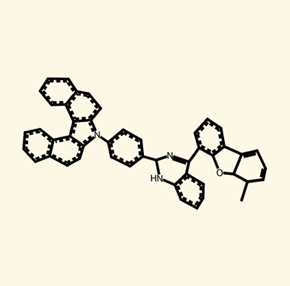 CC1C=CC=C2c3cccc(C4=NC(c5ccc(-n6c7ccc8ccccc8c7c7c8ccccc8ccc76)cc5)Nc5ccccc54)c3OC21